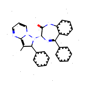 [2H]C1=C2N=CC=CN2N([C@@H]2N=C(c3ccccc3)c3ccccc3NC2=O)C1c1ccccc1